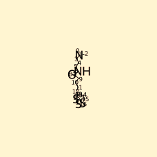 CN(C)CCCNC(=O)CCCC[C@@H]1CCSSS1